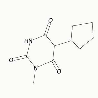 CN1C(=O)NC(=O)C(C2CCCC2)C1=O